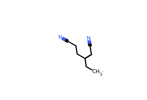 [CH2]CC(CC#N)CCC#N